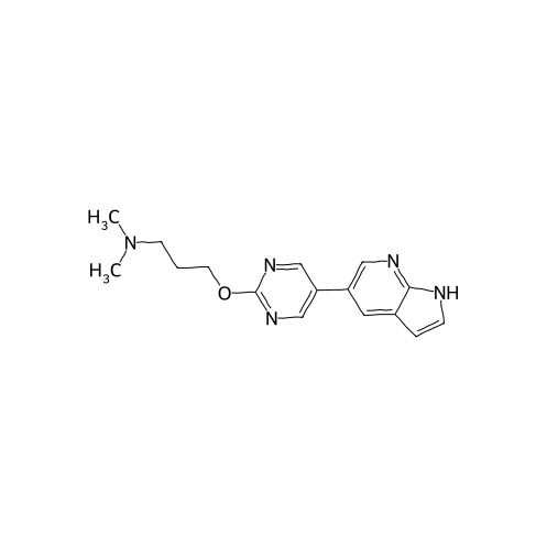 CN(C)CCCOc1ncc(-c2cnc3[nH]ccc3c2)cn1